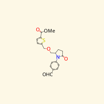 COC(=O)c1ccc(COCC2CCC(=O)N2c2ccc(C=O)cc2)s1